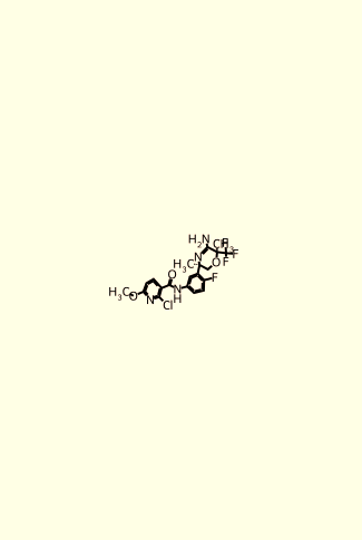 COc1ccc(C(=O)Nc2ccc(F)c([C@]3(C)CO[C@@](C)(C(F)(F)F)C(N)=N3)c2)c(Cl)n1